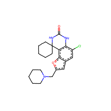 O=C1Nc2c(Cl)cc3cc(CN4CCCCC4)oc3c2C2(CCCCC2)N1